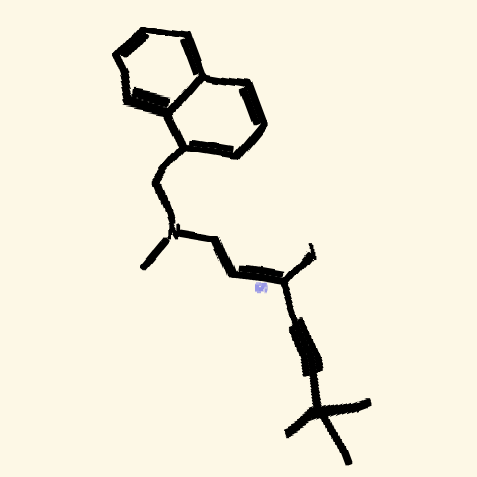 CN(C/C=C(\I)C#CC(C)(C)C)Cc1cccc2ccccc12